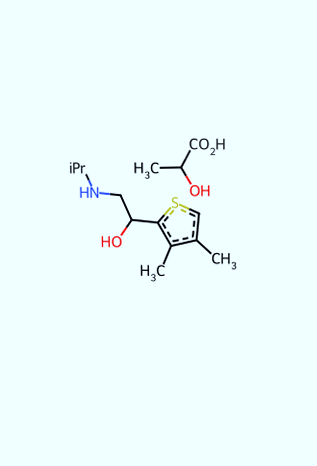 CC(O)C(=O)O.Cc1csc(C(O)CNC(C)C)c1C